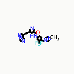 CN1CCN(Cc2ccc(NC(=O)c3cncc(C#Cc4cnn5ccncc45)c3)cc2C(F)(F)F)CC1